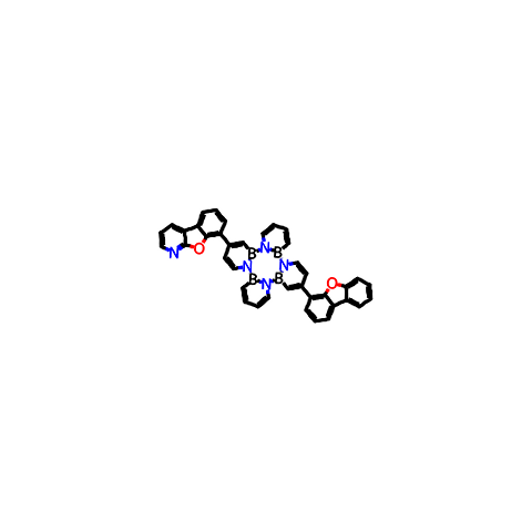 C1=CB2N3C=CC(c4cccc5c4oc4ccccc45)=CB3N3C=CC=CB3N3C=CC(c4cccc5c4oc4ncccc45)=CB3N2C=C1